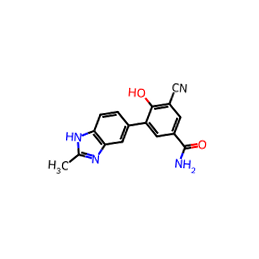 Cc1nc2cc(-c3cc(C(N)=O)cc(C#N)c3O)ccc2[nH]1